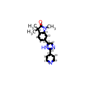 CN1C(=O)C(C)(C)c2ccc(-c3cnc(-c4ccncc4)[nH]3)cc21